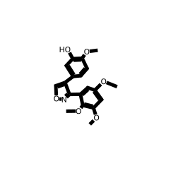 COc1cc(OC)c(OC)c(-c2nocc2-c2ccc(OC)c(O)c2)c1